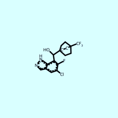 OC(c1c(F)c(Cl)cc2cn[nH]c12)C12CCC(C(F)(F)F)(CC1)CC2